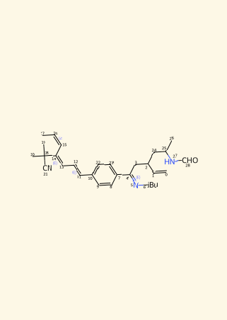 C=CC(C/C(=N\C(C)CC)c1ccc(/C=C/C=C(\C=C/C)C(C)(C)C#N)cc1)CC(C)NC=O